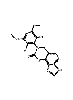 COc1cc(OC)c(F)c(N2Cc3cnc4[nH]cnc4c3OC2=O)c1F